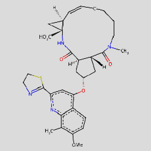 COc1ccc2c(O[C@@H]3C[C@H]4C(=O)N[C@]5(C(=O)O)C[C@H]5/C=C\CCCCN(C)C(=O)[C@@H]4C3)cc(C3=NCCS3)nc2c1C